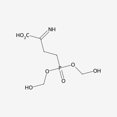 N=C(CCP(=O)(OCO)OCO)C(=O)O